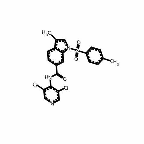 Cc1ccc(S(=O)(=O)n2cc(C)c3ccc(C(=O)Nc4c(Cl)cncc4Cl)cc32)cc1